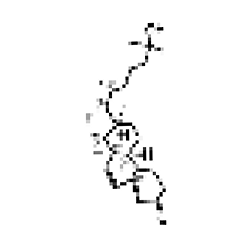 C[C@H](CCCC(C)(C)O)[C@H]1CC[C@H]2[C@@H]3C=CC4=CC(=O)CC[C@]4(C)[C@H]3CC[C@]12C